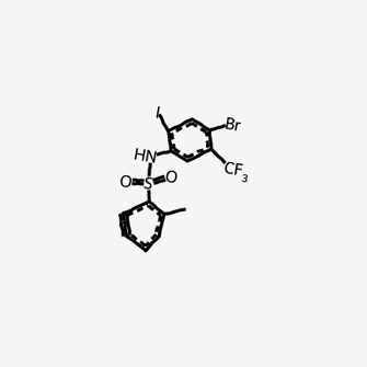 Cc1ccc#cc1S(=O)(=O)Nc1cc(C(F)(F)F)c(Br)cc1I